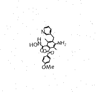 COc1ccc(S(=O)(=O)c2c(C)c(N)c(Cc3cccnc3)c(C)c2C(=O)NO)cc1